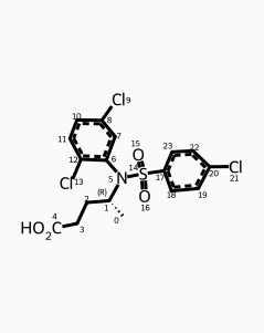 C[C@H](CCC(=O)O)N(c1cc(Cl)ccc1Cl)S(=O)(=O)c1ccc(Cl)cc1